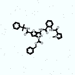 Cn1cccc1C(=O)Nc1ccccc1C(=O)Nc1nn(C(=O)OCc2ccccc2)c2cc(C(=O)NC(C)(C)c3ccccc3)oc12